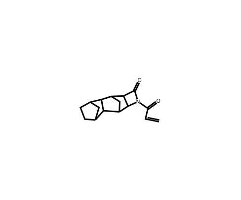 C=CC(=O)N1C(=O)C2C3CC(C4C5CCC(C5)C34)C21